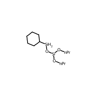 CCCO[Si](OCCC)O[SiH2]C1CCCCC1